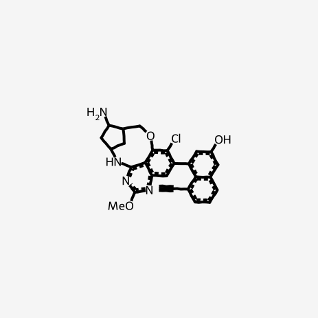 C#Cc1cccc2cc(O)cc(-c3cc4nc(OC)nc5c4c(c3Cl)OCC3CC(CC3N)N5)c12